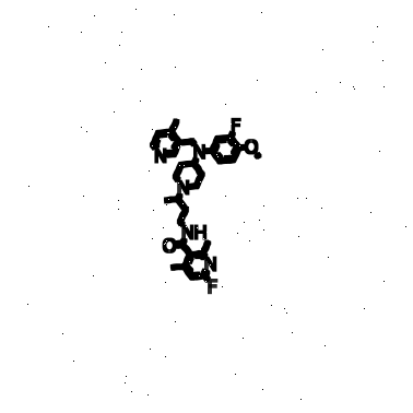 COc1ccc(N(Cc2cnccc2C)C2CCN(C(C)CCNC(=O)c3c(C)cc(F)nc3C)CC2)cc1F